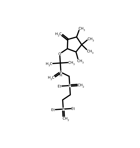 C=C1C(OC(C)(C)[PH](=C)CP(=C)(CC)CCP(=C)(CC)CC)C(C)C(C)(C)C1C